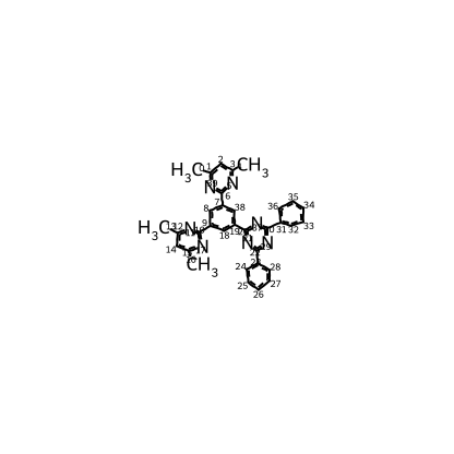 Cc1cc(C)nc(-c2cc(-c3nc(C)cc(C)n3)cc(-c3nc(-c4ccccc4)nc(-c4ccccc4)n3)c2)n1